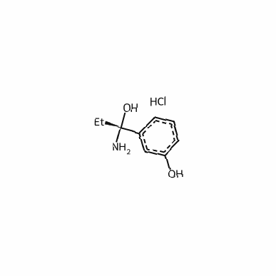 CC[C@@](N)(O)c1cccc(O)c1.Cl